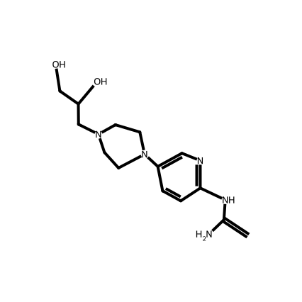 C=C(N)Nc1ccc(N2CCN(CC(O)CO)CC2)cn1